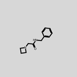 O=C(CN1CCC1)N[CH]c1ccccc1